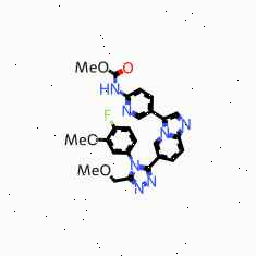 COCc1nnc(-c2ccc3ncc(-c4ccc(NC(=O)OC)nc4)n3c2)n1-c1ccc(F)c(OC)c1